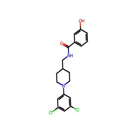 O=C(NCC1CCN(c2cc(Cl)cc(Cl)c2)CC1)c1cccc(O)c1